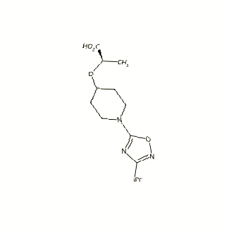 CC(C)c1noc(N2CCC(O[C@H](C)C(=O)O)CC2)n1